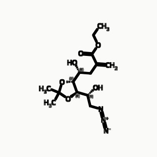 C=C(C[C@@H](O)[C@H]1OC(C)(C)O[C@@H]1[C@H](O)CN=[N+]=[N-])C(=O)OCC